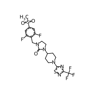 CS(=O)(=O)c1cc(F)c(CN2CCN(C3CCN(c4nc(C(F)(F)F)ns4)CC3)C2=O)c(F)c1